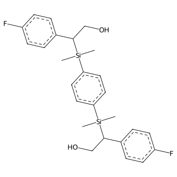 C[Si](C)(c1ccc([Si](C)(C)C(CO)c2ccc(F)cc2)cc1)C(CO)c1ccc(F)cc1